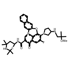 COC(C)(C)CNC1CCN(c2c(F)cc3c(=O)c(C(=O)NC4CC(C)(C)NC(C)(C)C4)cn4c3c2Oc2cc3ccccc3cc2-4)C1